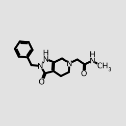 CNC(=O)CN1CCc2c([nH]n(Cc3ccccc3)c2=O)C1